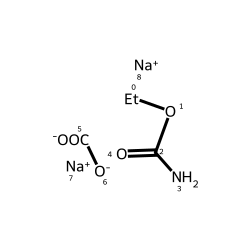 CCOC(N)=O.O=C([O-])[O-].[Na+].[Na+]